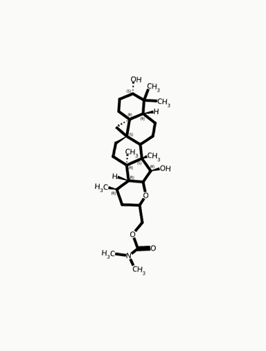 C[C@@H]1CC(COC(=O)N(C)C)OC2[C@H]1[C@@]1(C)CC[C@@]34C[C@@]35CC[C@H](O)C(C)(C)[C@@H]5CCC4[C@]1(C)[C@H]2O